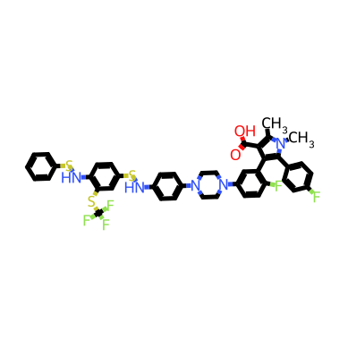 Cc1c(C(=O)O)c(-c2cc(N3CCN(c4ccc(NSc5ccc(NSc6ccccc6)c(SC(F)(F)F)c5)cc4)CC3)ccc2F)c(-c2ccc(F)cc2)n1C